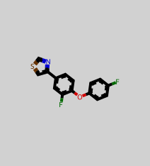 Fc1ccc(Oc2ccc(-c3cscn3)cc2F)cc1